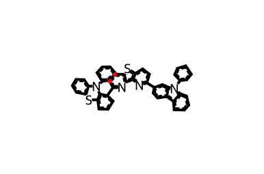 c1ccc(N2c3ccccc3Sc3cccc(-c4ccc5sc6ccc(-c7ccc8c9ccccc9n(-c9ccccc9)c8c7)nc6c5n4)c32)cc1